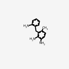 Cc1ccc(N)c(N)c1Cc1ccccc1N